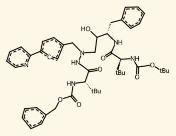 CC(C)(C)OC(=O)N[C@H](C(=O)N[C@@H](Cc1ccccc1)C(O)CN(Cc1ccc(-c2ccccn2)cc1)NC(=O)[C@@H](NC(=O)OCc1ccccc1)C(C)(C)C)C(C)(C)C